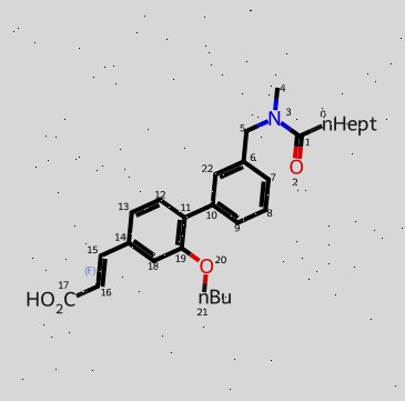 CCCCCCCC(=O)N(C)Cc1cccc(-c2ccc(/C=C/C(=O)O)cc2OCCCC)c1